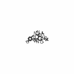 COC(=O)c1nn(C)cc1-c1c(CO[Si](C)(C)C(C)(C)C)n(C(C)C)c2ncnc(NCc3ccc(OC)cc3OC)c12